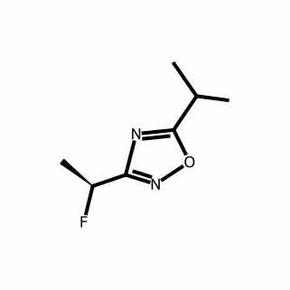 CC(C)c1nc([C@H](C)F)no1